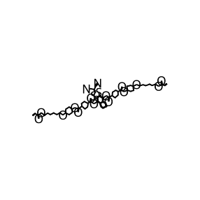 C=CC(=O)OCCCCCCOC1CCC(OC(=O)C2CCC(C(=O)Oc3c4c(c(OC(=O)C5CCC(C(=O)OC6CCC(OCCCCCCOC(=O)C=C)CC6)CC5)c5ccccc35)SC(=C(C#N)C#N)S4)CC2)CC1